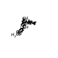 Cc1cc2cnc(NC3CCN(S(C)(=O)=O)CC3)nc2c(N2CC3(C2)CN(C2CC2)C3)n1